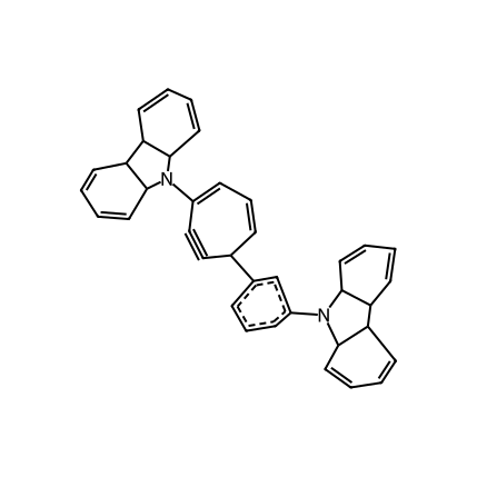 C1#CC(c2cccc(N3C4C=CC=CC4C4C=CC=CC43)c2)C=CC=C1N1C2C=CC=CC2C2C=CC=CC21